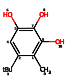 Cc1c(C(C)(C)C)cc(O)c(O)c1O